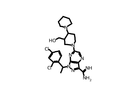 CC(c1ccc(Cl)cc1Cl)n1nc(C(=N)N)c2ncc(N3CCC(N4CCCCC4)C(CO)C3)nc21